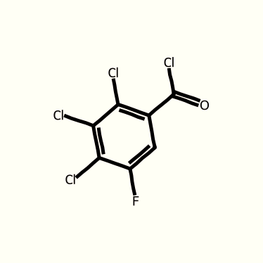 O=C(Cl)c1cc(F)c(Cl)c(Cl)c1Cl